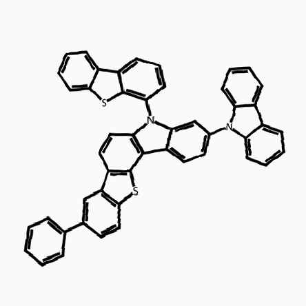 c1ccc(-c2ccc3sc4c(ccc5c4c4ccc(-n6c7ccccc7c7ccccc76)cc4n5-c4cccc5c4sc4ccccc45)c3c2)cc1